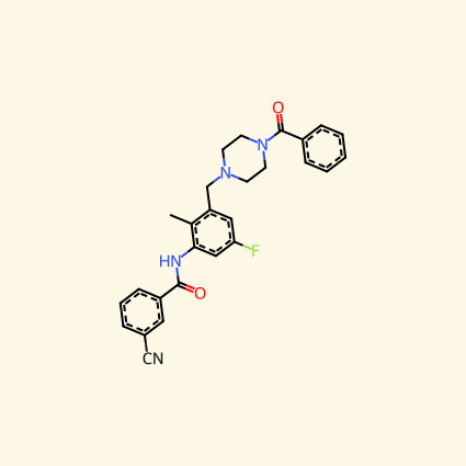 Cc1c(CN2CCN(C(=O)c3ccccc3)CC2)cc(F)cc1NC(=O)c1cccc(C#N)c1